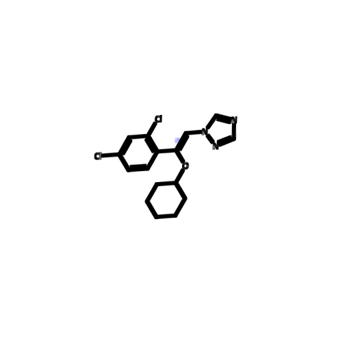 Clc1ccc(/C(=C/n2cncn2)OC2CCCCC2)c(Cl)c1